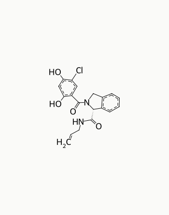 C=CCNC(=O)[C@H]1c2ccccc2CN1C(=O)c1cc(Cl)c(O)cc1O